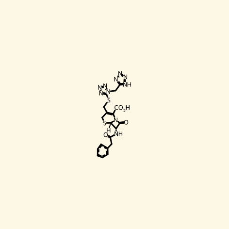 O=C(Cc1ccccc1)N[C@@H]1C(=O)N2C(C(=O)O)=C(CSc3nnnn3Cc3nnn[nH]3)CS[C@@H]12